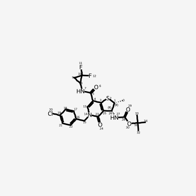 C[C@H]1Sc2c(C(=O)NC3CC3(F)F)cn(Cc3ccc(Cl)cc3)c(=O)c2[C@H]1NC(=O)OC(C)(C)C